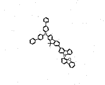 CC1(C)c2cc(-c3ccc4c(c3)c3ccccc3n4-c3cccc4c3oc3ccccc34)ccc2-c2ccc(N(c3ccc(-c4ccccc4)cc3)c3ccc(-c4ccccc4)cc3)cc21